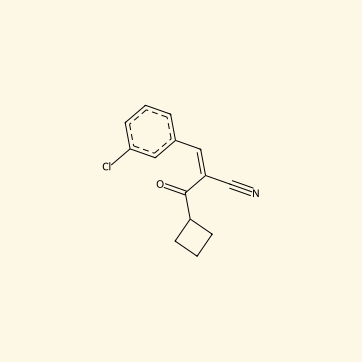 N#CC(=Cc1cccc(Cl)c1)C(=O)C1CCC1